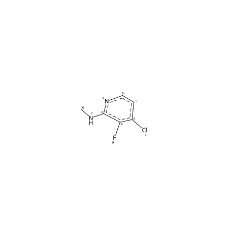 CNc1nccc(Cl)c1F